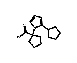 CC(C)C(=O)C1(n2cccc2C2CCCC2)CCCC1